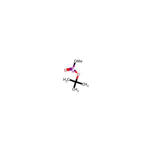 CO[PH](=O)OC(C)(C)C